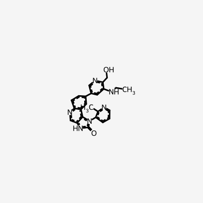 CCNc1cc(-c2ccc3ncc4[nH]c(=O)n(-c5cccnc5C)c4c3c2)cnc1CO